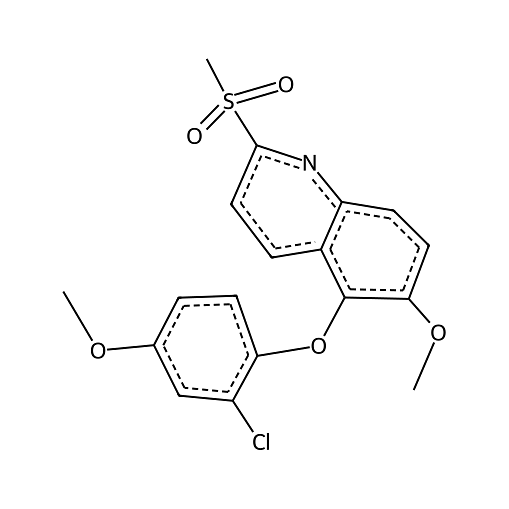 COc1ccc(Oc2c(OC)ccc3nc(S(C)(=O)=O)ccc23)c(Cl)c1